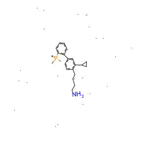 C=P(C)(C)c1ccccc1-c1ccc(CCCCN)c(C2CC2)c1